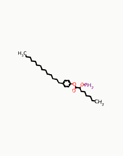 CCCCCCCCCCCCCCc1ccc(OC(=O)C(CCCCCC)OP)cc1